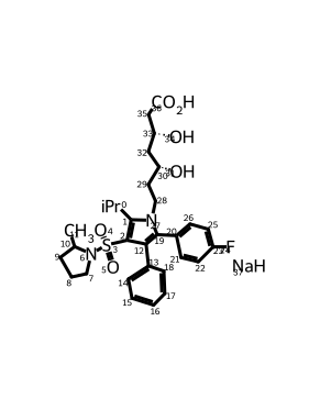 CC(C)c1c(S(=O)(=O)N2CCCC2C)c(-c2ccccc2)c(-c2ccc(F)cc2)n1CC[C@@H](O)C[C@@H](O)CC(=O)O.[NaH]